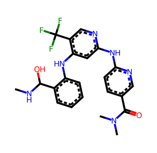 CNC(O)c1ccccc1Nc1cc(Nc2ccc(C(=O)N(C)C)cn2)ncc1C(F)(F)F